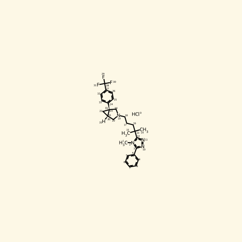 Cl.Cn1c(-c2ccccc2)nnc1C(C)(C)CCCN1C[C@@H]2C[C@]2(c2ccc(C(F)(F)F)cc2)C1